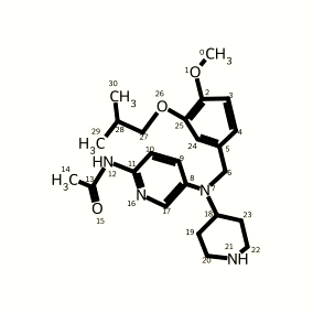 COc1ccc(CN(c2ccc(NC(C)=O)nc2)C2CCNCC2)cc1OCC(C)C